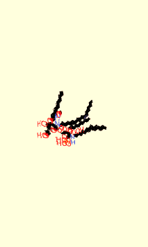 CCCCCC/C=C\CCCCCCCCCC(=O)N[C@H]1[C@H](OC[C@H]2O[C@H](OP(=O)(O)O)[C@H](NC(=O)CC(O)CCCCCCCCCCC)[C@@H](OCCCCCCCCCC)[C@@H]2O)O[C@H](CCO)[C@@H](O)[C@@H]1OCCC(CCCCCCC)OC